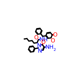 CCCCCC(C(=O)NC(C1=CC(=O)C(=O)C=C1)c1ccccc1)n1c(-c2ccccc2)ncc(N)c1=O